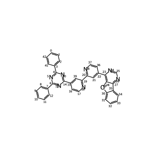 c1ccc(-c2nc(-c3ccccc3)nc(-c3ccnc(-c4cc(-c5ncnc6c5oc5ccccc56)ccn4)c3)n2)cc1